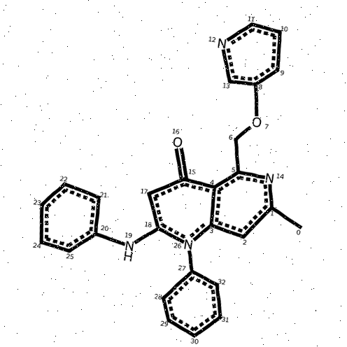 Cc1cc2c(c(COc3cccnc3)n1)c(=O)cc(Nc1ccccc1)n2-c1ccccc1